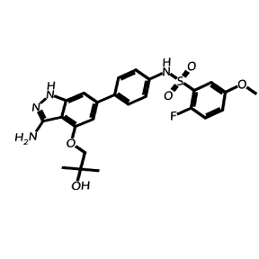 COc1ccc(F)c(S(=O)(=O)Nc2ccc(-c3cc(OCC(C)(C)O)c4c(N)n[nH]c4c3)cc2)c1